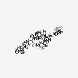 CC1(CN2CCN(CCC(=O)Nc3cc(Nc4cc(-c5cc(Cl)ccc5F)nnc4SCCO[Si](C)(C)C(C)(C)C)ccn3)CC2)CCOC1=O